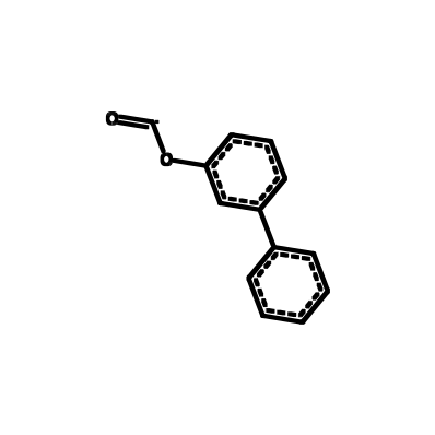 O=[C]Oc1cccc(-c2ccccc2)c1